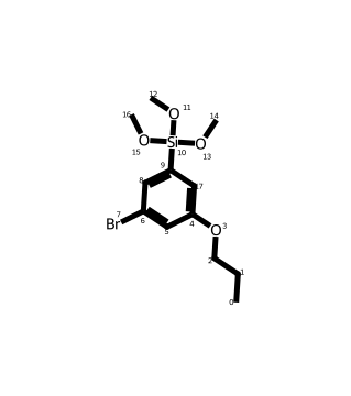 CCCOc1cc(Br)cc([Si](OC)(OC)OC)c1